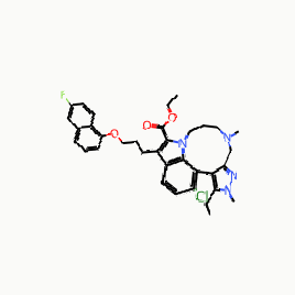 CCOC(=O)c1c(CCCOc2cccc3cc(F)ccc23)c2ccc(Cl)c3c2n1CCCN(C)Cc1nn(C)c(CC)c1-3